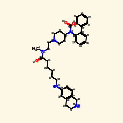 CN(CCN1CCC(N(C(=O)O)c2ccccc2-c2ccccc2)CC1)C(=O)CCCCCNc1ccc2c(c1)CCNC2